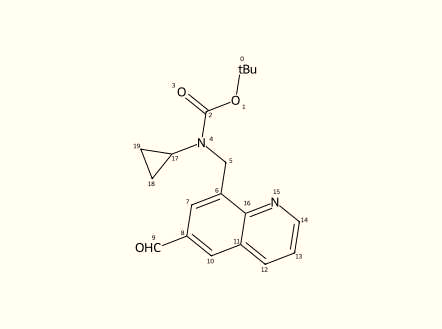 CC(C)(C)OC(=O)N(Cc1cc(C=O)cc2cccnc12)C1CC1